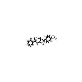 COc1cnc(N2CC(CC(O)c3cccnc3)C2)cn1